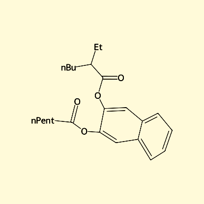 CCCCCC(=O)Oc1cc2ccccc2cc1OC(=O)C(CC)CCCC